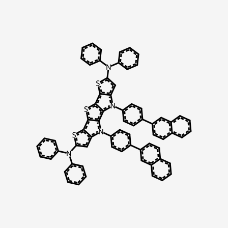 c1ccc(N(c2ccccc2)c2cc3c(s2)c2sc4c5sc(N(c6ccccc6)c6ccccc6)cc5n(-c5ccc(-c6ccc7ccccc7c6)cc5)c4c2n3-c2ccc(-c3ccc4ccccc4c3)cc2)cc1